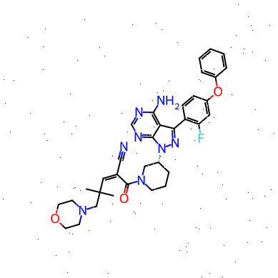 CC(C)(/C=C(/C#N)C(=O)N1CCC[C@@H](n2nc(-c3ccc(Oc4ccccc4)cc3F)c3c(N)ncnc32)C1)CN1CCOCC1